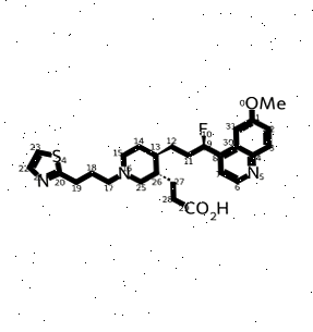 COc1ccc2nccc([C@H](F)CC[C@@H]3CCN(CCCc4nccs4)C[C@H]3CCC(=O)O)c2c1